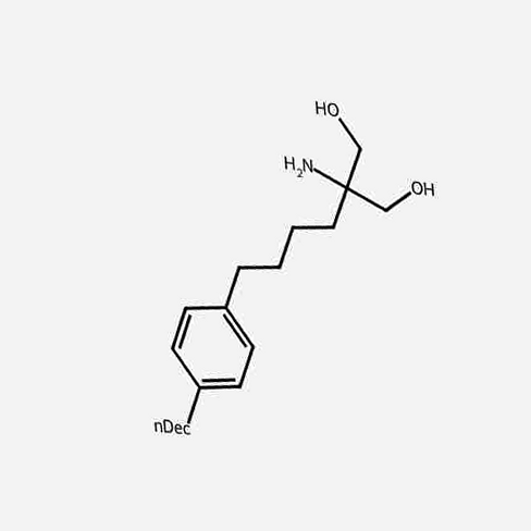 CCCCCCCCCCc1ccc(CCCCC(N)(CO)CO)cc1